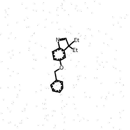 CCC1(CC)C=Nc2ccc(OCc3ccccc3)cc21